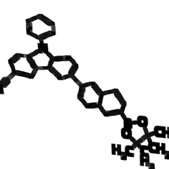 CC1(C)OB(c2ccc3cc(-c4ccc5c(c4)c4cc(C#N)ccc4n5-c4ccccc4)ccc3c2)OC1(C)C